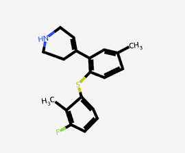 Cc1ccc(Sc2cccc(F)c2C)c(C2=CCNCC2)c1